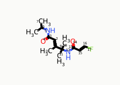 C/C(=C\C(=O)NC(C)C)C(C)(C)NC(=O)/C=C/F